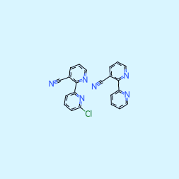 N#Cc1cccnc1-c1cccc(Cl)n1.N#Cc1cccnc1-c1ccccn1